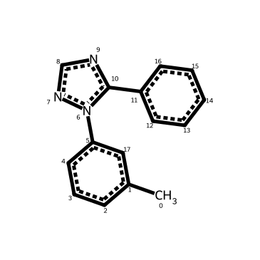 Cc1cccc(-n2ncnc2-c2ccccc2)c1